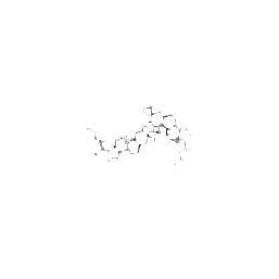 CC(C)CCC[C@@H](C)[C@H]1CCC2C3CC=C4CC5(CCO5)C(OC5C[C@@]6(C)C(=CCC7C6CC[C@@]6(C)C7CC[C@@H]6[C@H](C)CCCC(C)C)CC56CCO6)C[C@]4(C)C3CC[C@@]21C